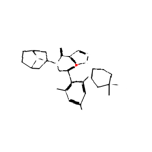 CC(C)N1C2CCC1CC(N(CC(=O)c1c(Cl)cc(F)cc1Cl)C(=O)c1cnn([C@H]3CC[C@](C)(C(=O)O)CC3)c1C(F)(F)F)C2